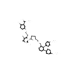 COC(=O)c1cc(SCCc2c(C)c(=O)[nH]c(=O)n2C2CCC(COCc3cccc(-c4ccc(OC)cc4)c3-c3ccc(OC)cc3)O2)ccc1[N+](=O)[O-]